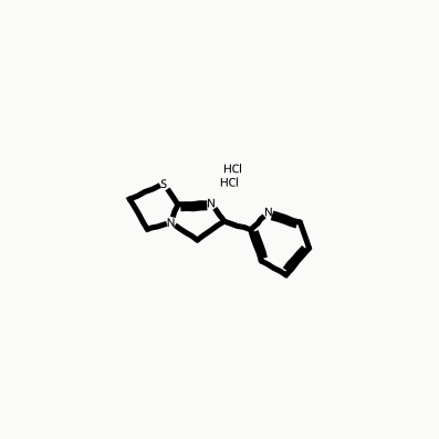 Cl.Cl.c1ccc(C2CN3CCSC3=N2)nc1